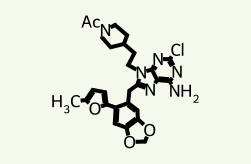 CC(=O)N1CCC(CCn2c(Cc3cc4c(cc3-c3ccc(C)o3)OCO4)nc3c(N)nc(Cl)nc32)CC1